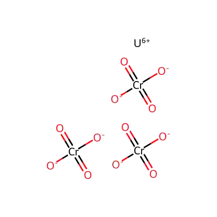 [O]=[Cr](=[O])([O-])[O-].[O]=[Cr](=[O])([O-])[O-].[O]=[Cr](=[O])([O-])[O-].[U+6]